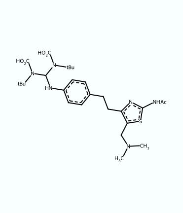 CC(=O)Nc1nc(CCc2ccc(NC(N(C(=O)O)C(C)(C)C)N(C(=O)O)C(C)(C)C)cc2)c(CN(C)C)s1